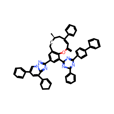 C=C1/C=C(/c2ccccc2)C[C@H](C)CCc2cc(-c3nc4c(C5=CCCC=C5)cc(-c5ccccc5)cn4n3)cc(-c3nc(-c4ccccc4)nc(-c4ccc(-c5ccccc5)cc4)n3)c2O1